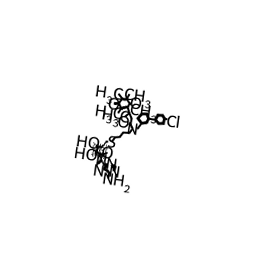 CC1=C(C)C(=O)C(C(C)(C)CC(=O)N(CCCCSC[C@H]2O[C@@H](n3cnc4c(N)ncnc43)[C@H](O)[C@@H]2O)Cc2cccc(-c3ccc(Cl)cc3)c2)=C(C)C1=O